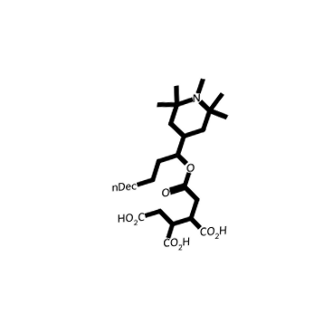 CCCCCCCCCCCCC(OC(=O)CC(C(=O)O)C(CC(=O)O)C(=O)O)C1CC(C)(C)N(C)C(C)(C)C1